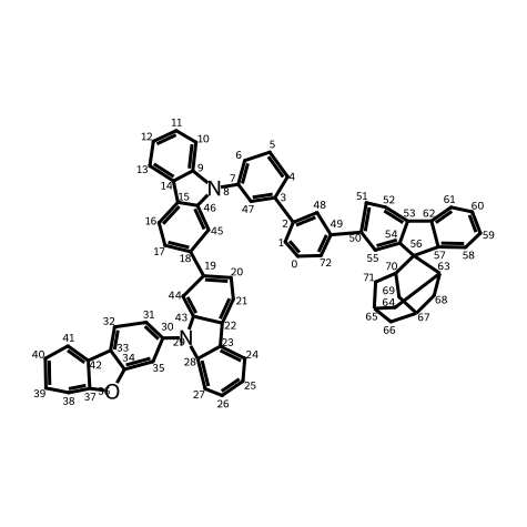 c1cc(-c2cccc(-n3c4ccccc4c4ccc(-c5ccc6c7ccccc7n(-c7ccc8c(c7)oc7ccccc78)c6c5)cc43)c2)cc(-c2ccc3c(c2)C2(c4ccccc4-3)C3CC4CC(C3)CC2C4)c1